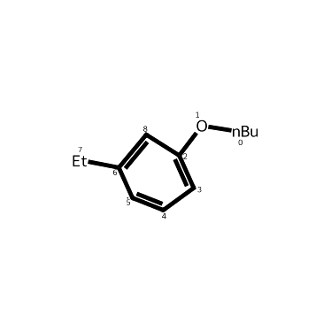 CCCCOc1cc[c]c(CC)c1